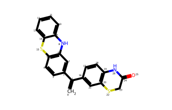 C=C(c1ccc2c(c1)Nc1ccccc1S2)c1ccc2c(c1)SCC(=O)N2